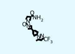 Cc1cc(C(F)(F)F)nn1-c1ccc(C2CN(C(=O)N3CC[C@H](C(N)=O)C3)C2)cc1